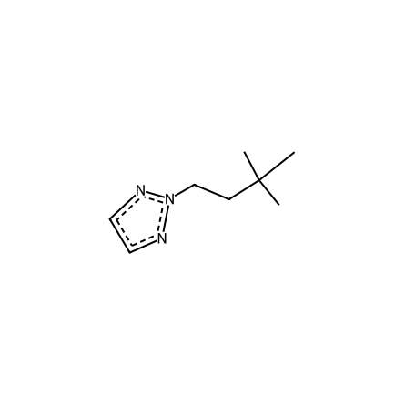 CC(C)(C)CCn1nccn1